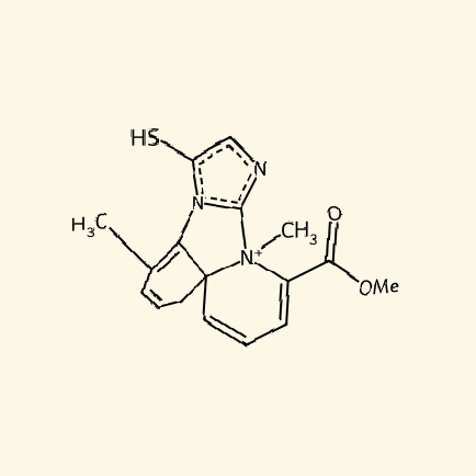 COC(=O)C1=CC=CC23CC=CC(C)=C2n2c(S)cnc2[N+]13C